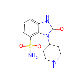 NS(=O)(=O)c1cccc2[nH]c(=O)n(C3CCNCC3)c12